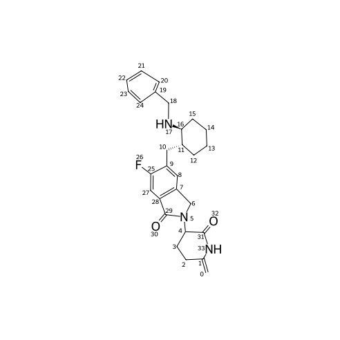 C=C1CCC(N2Cc3cc(C[C@H]4CCCC[C@@H]4NCc4ccccc4)c(F)cc3C2=O)C(=O)N1